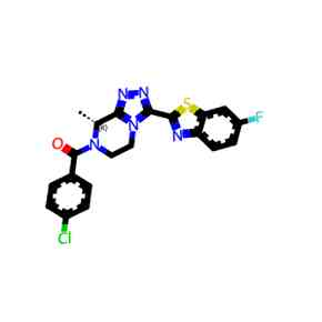 C[C@@H]1c2nnc(-c3nc4ccc(F)cc4s3)n2CCN1C(=O)c1ccc(Cl)cc1